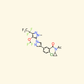 CC(=O)N(C(=O)c1cc(-c2cnn(-c3c(OC(F)F)c(C(F)(F)C(F)(F)F)nn3C)c2)ccc1Cl)C1CC1